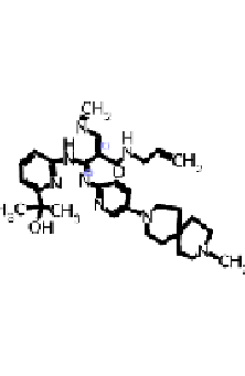 C=CCNC(=O)C(=C/N=C)/C(=N\c1ccc(N2CCC3(CCN(C)CC3)CC2)cn1)Nc1cccc(C(C)(C)O)n1